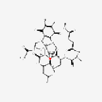 COC(=O)CCC(=O)NC(C)C(=O)NC(CC(C)C)C(=O)NC(C)C(=O)NC(CC(C)C)C(=O)N1[C@@H]2CN3C4=C(C(=O)C(N)=C(C)C4=O)[C@H](COC(N)=O)[C@]3(OC)[C@@H]21